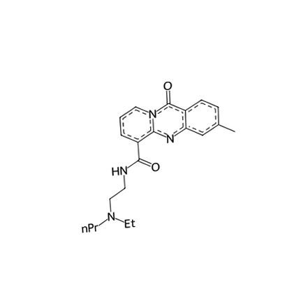 CCCN(CC)CCNC(=O)c1cccn2c(=O)c3ccc(C)cc3nc12